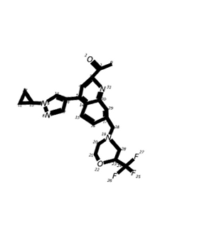 CC(=O)c1cc(-c2cnn(C3CC3)c2)c2ccc(CN3CCOC(C(F)(F)F)C3)cc2n1